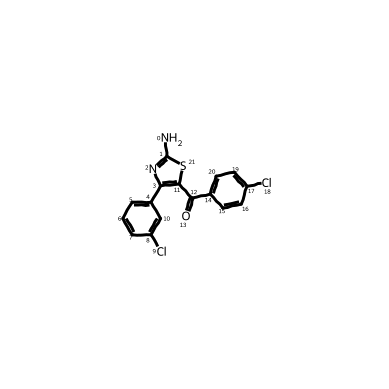 Nc1nc(-c2cccc(Cl)c2)c(C(=O)c2ccc(Cl)cc2)s1